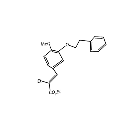 CCOC(=O)C(=Cc1ccc(OC)c(OCCc2ccccc2)c1)CC